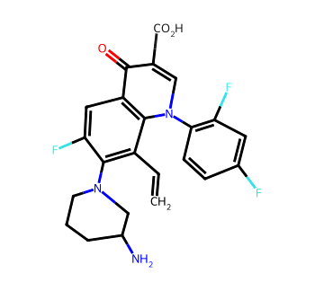 C=Cc1c(N2CCCC(N)C2)c(F)cc2c(=O)c(C(=O)O)cn(-c3ccc(F)cc3F)c12